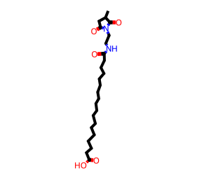 CC1CC(=O)N(CCNC(=O)CCCCCCCCCCCCCCCCC(=O)O)C1=O